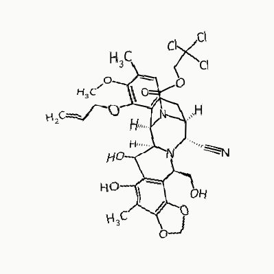 C=CCOc1c(OC)c(C)cc2c1[C@@H]1[C@@H]3C(O)c4c(O)c(C)c5c(c4[C@H](CO)N3[C@@H](C#N)[C@H](C2)N1C(=O)OCC(Cl)(Cl)Cl)OCO5